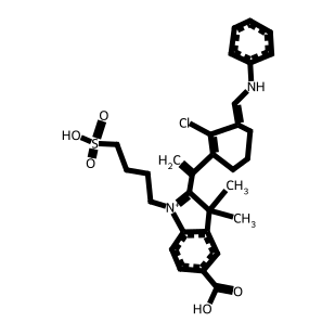 C=C(C1=C(Cl)C(=CNc2ccccc2)CCC1)C1=[N+](CCCCS(=O)(=O)O)c2ccc(C(=O)O)cc2C1(C)C